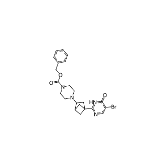 O=C(OCc1ccccc1)N1CCN(C2CC3(c4ncc(Br)c(=O)[nH]4)CC2C3)CC1